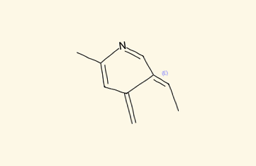 C=c1cc(C)nc/c1=C/C